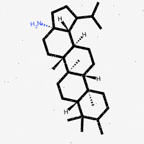 CC(C)C1CC[C@]2(N)CC[C@]3(C)[C@H](CC[C@@H]4[C@@]5(C)CCC(C)C(C)(C)[C@@H]5CC[C@]43C)[C@@H]12